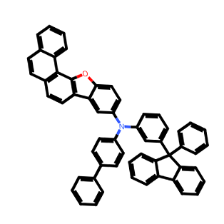 c1ccc(-c2ccc(N(c3cccc(C4(c5ccccc5)c5ccccc5-c5ccccc54)c3)c3ccc4oc5c(ccc6ccc7ccccc7c65)c4c3)cc2)cc1